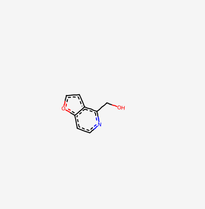 OCc1nccc2occc12